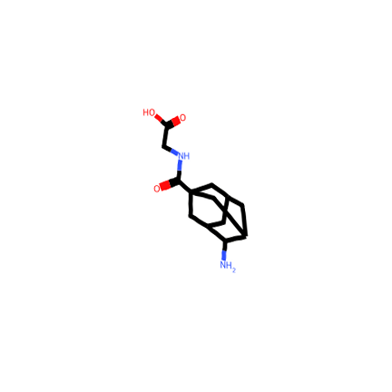 NC1C2CC3CC1CC(C(=O)NCC(=O)O)(C3)C2